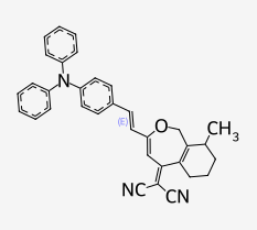 CC1CCCC2=C1COC(/C=C/c1ccc(N(c3ccccc3)c3ccccc3)cc1)=CC2=C(C#N)C#N